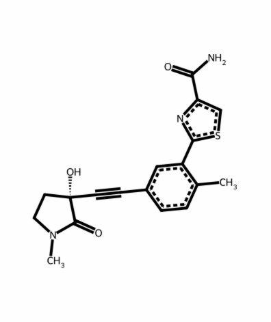 Cc1ccc(C#C[C@]2(O)CCN(C)C2=O)cc1-c1nc(C(N)=O)cs1